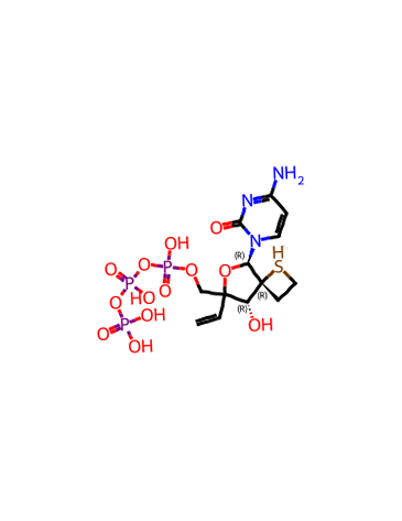 C#[SH]1CC[C@]12[C@H](O)C(C=C)(COP(=O)(O)OP(=O)(O)OP(=O)(O)O)O[C@H]2n1ccc(N)nc1=O